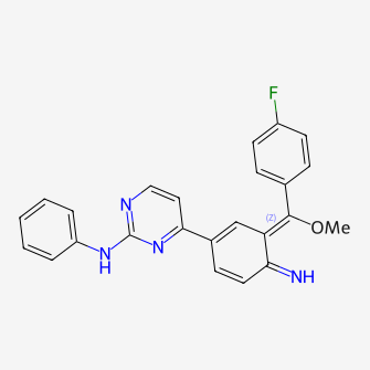 CO/C(=C1/C=C(c2ccnc(Nc3ccccc3)n2)C=CC1=N)c1ccc(F)cc1